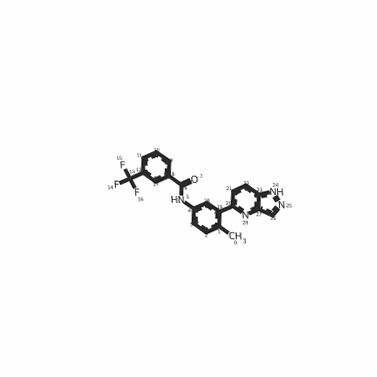 Cc1ccc(NC(=O)c2cccc(C(F)(F)F)c2)cc1-c1ccc2[nH]ncc2n1